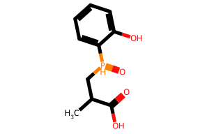 CC(C[PH](=O)c1ccccc1O)C(=O)O